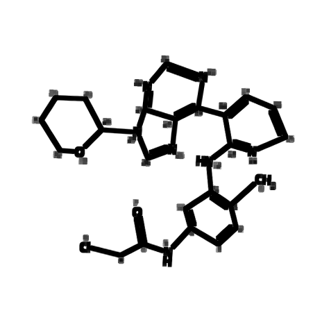 Cc1ccc(NC(=O)CCl)cc1Nc1ncccc1-c1ncnc2c1ncn2C1CCCCO1